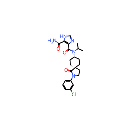 CC(C)N(C(=O)c1nc[nH]c1C(N)=O)[C@H]1CC[C@@]2(CCN(c3cccc(Cl)c3)C2=O)CC1